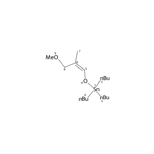 CCC[CH2][Sn]([CH2]CCC)([CH2]CCC)[O]C=C(C)COC